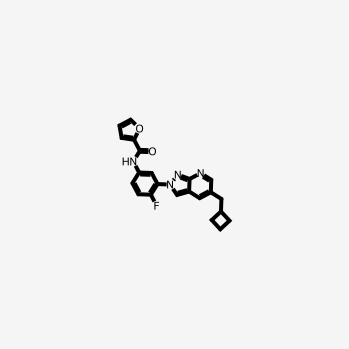 O=C(Nc1ccc(F)c(-n2cc3cc(CC4CCC4)cnc3n2)c1)c1ccco1